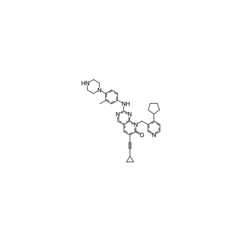 Cc1cc(Nc2ncc3cc(C#CC4CC4)c(=O)n(Cc4cnccc4C4CCCC4)c3n2)ccc1N1CCNCC1